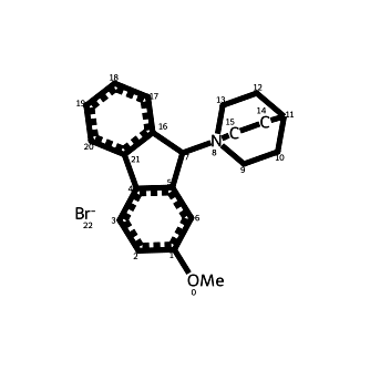 COc1ccc2c(c1)C([N+]13CCC(CC1)CC3)c1ccccc1-2.[Br-]